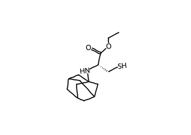 CCOC(=O)[C@H](CS)NC12CC3CC(CC(C3)C1)C2